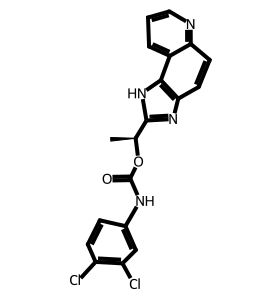 C[C@H](OC(=O)Nc1ccc(Cl)c(Cl)c1)c1nc2ccc3ncccc3c2[nH]1